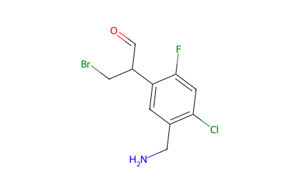 NCc1cc(C(C=O)CBr)c(F)cc1Cl